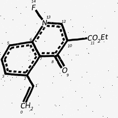 C=Cc1cccc2c1c(=O)c(C(=O)OCC)cn2F